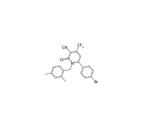 [C-]#[N+]c1c(C(F)(F)F)cc(-c2ccc(Br)cc2)n(Cc2ccc(C)cc2C)c1=O